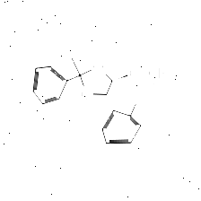 CC1(c2ccccc2)O[C@@H](C(=O)O)[C@H](c2ccccc2F)O1